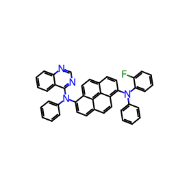 Fc1ccccc1N(c1ccccc1)c1ccc2ccc3c(N(c4ccccc4)c4ncnc5ccccc45)ccc4ccc1c2c43